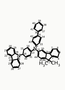 CC1(C)c2ccccc2-c2cc(N(C3=CCC(n4c5ccccc5c5ccccc54)C=C3)c3ccc(-c4ccccc4)cc3)ccc21